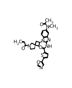 C=CC(=O)N1CC[C@]2(C1)C[C@H](n1c(NC(=O)c3ccc(-c4cnco4)s3)nc3cc(N(C)C(C)=O)ccc31)C2